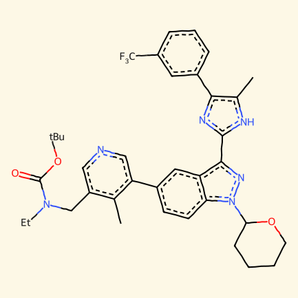 CCN(Cc1cncc(-c2ccc3c(c2)c(-c2nc(-c4cccc(C(F)(F)F)c4)c(C)[nH]2)nn3C2CCCCO2)c1C)C(=O)OC(C)(C)C